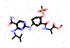 COC(=O)C(C)NC(=O)c1cc(Nc2ncc(C(N)=O)c(NC(C)C(C)C)n2)ccc1OS(C)(=O)=O